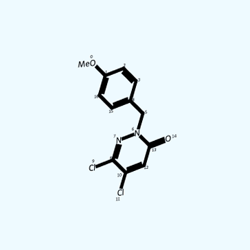 COc1ccc(Cn2nc(Cl)c(Cl)cc2=O)cc1